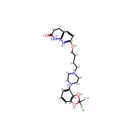 O=C1CCc2ccc(OCCCCN3CCN(c4cccc5c4OC(F)(F)O5)CC3)nc2N1